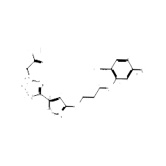 O=C(O)Cn1nnc(-c2cc(OCCCOc3cc(Cl)ccc3Cl)no2)n1